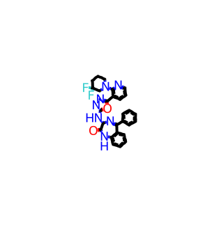 O=C1Nc2ccccc2C(c2ccccc2)=NC1Nc1nnc(-c2cccnc2N2CCCC(F)(F)C2)o1